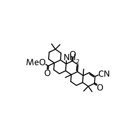 COC(=O)C12CCC3C4(C)CCC5C(C)(C)C(=O)C(C#N)=CC5(C)C4=CC(=O)C3(N)C1CC(C)(C)CC2